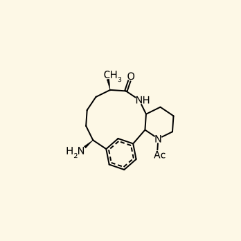 CC(=O)N1CCCC2NC(=O)[C@H](C)CCC[C@H](N)c3cccc(c3)C21